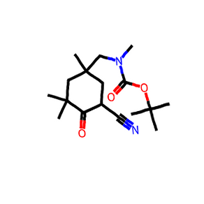 CN(CC1(C)CC(C#N)C(=O)C(C)(C)C1)C(=O)OC(C)(C)C